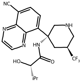 CC(C)[C@H](O)C(=O)N[C@]1(c2ccc(C#N)c3nccnc23)CNC[C@@H](C(F)(F)F)C1